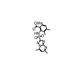 COC(=O)c1ccc(C)c(C)c1NS(=O)(=O)c1nc2nc(C)cc(C)n2n1